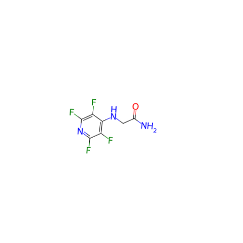 NC(=O)CNc1c(F)c(F)nc(F)c1F